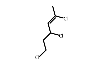 [CH2]C(Cl)=CC(Cl)CCCl